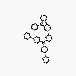 c1ccc(-c2ccc(N(c3ccc(-c4ccccc4)cc3)c3cccc(-c4ccc5c6ccccc6n(-c6ccccc6)c5c4)c3)cc2)cc1